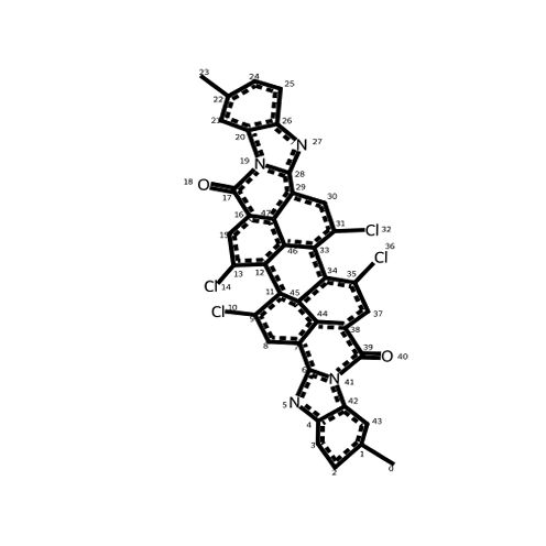 Cc1ccc2nc3c4cc(Cl)c5c6c(Cl)cc7c(=O)n8c9cc(C)ccc9nc8c8cc(Cl)c(c9c(Cl)cc(c(=O)n3c2c1)c4c95)c6c78